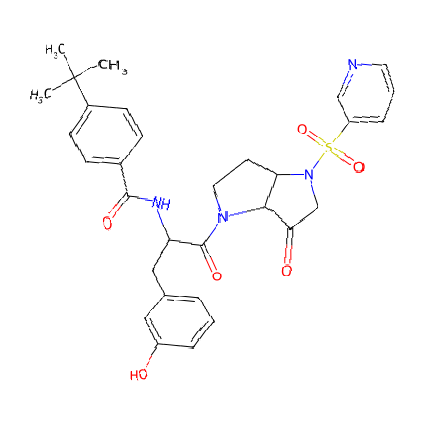 CC(C)(C)c1ccc(C(=O)NC(Cc2cccc(O)c2)C(=O)N2CCC3C2C(=O)CN3S(=O)(=O)c2cccnc2)cc1